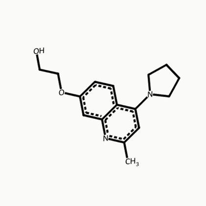 Cc1cc(N2CCCC2)c2ccc(OCCO)cc2n1